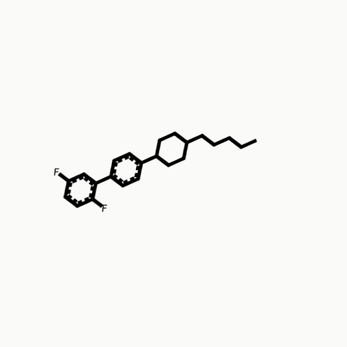 CCCCCC1CCC(c2ccc(-c3cc(F)ccc3F)cc2)CC1